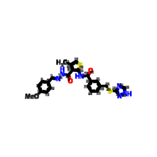 COc1ccc(C=NNC(=O)c2c(C)csc2NC(=O)c2cccc(CSc3nc[nH]n3)c2)cc1